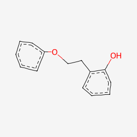 Oc1ccccc1CCOc1ccccc1